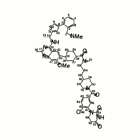 CNCc1ccccc1-c1csc([C@@H](C)Nc2nc(C)nc3cc(OC)c(C4CCC(C(=O)N(C)CCCC5CCN(C(=O)c6ccc(Cl)c(N7CCC(=O)NC7=O)c6)CC5)CC4)cc23)c1